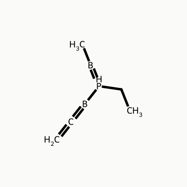 C=C=B[PH](=BC)CC